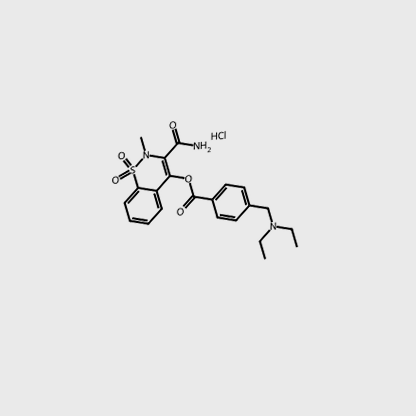 CCN(CC)Cc1ccc(C(=O)OC2=C(C(N)=O)N(C)S(=O)(=O)c3ccccc32)cc1.Cl